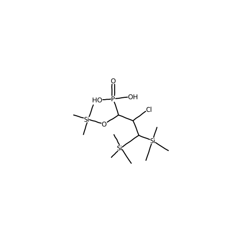 C[Si](C)(C)OC(C(Cl)C([Si](C)(C)C)[Si](C)(C)C)P(=O)(O)O